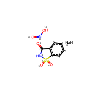 O=C1NS(=O)(=O)c2ccccc21.O=NO.[NaH]